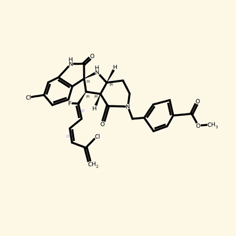 C=C(Cl)/C=C\C=C(/F)[C@@H]1[C@H]2C(=O)N(Cc3ccc(C(=O)OC)cc3)CC[C@H]2N[C@@]12C(=O)Nc1cc(Cl)ccc12